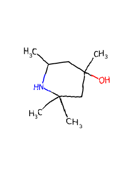 CC1CC(C)(O)CC(C)(C)N1